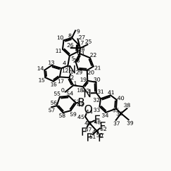 C/C(=C1/N=C(c2ccc(C)cc2)c2ccccc21)c1c(-c2ccc(C(C)(C)C)cc2)cc(-c2ccc(C(C)(C)C)cc2)n1B(OCC(F)(F)C(F)(F)F)c1ccc(C)cc1